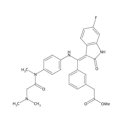 COC(=O)Cc1cccc(C(Nc2ccc(N(C)C(=O)CN(C)C)cc2)=C2C(=O)Nc3cc(F)ccc32)c1